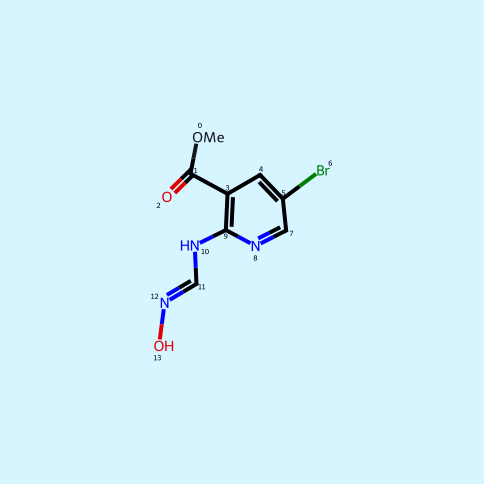 COC(=O)c1cc(Br)cnc1N/C=N/O